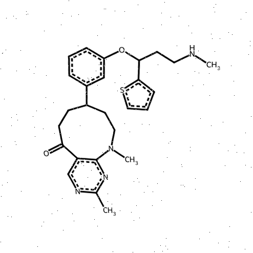 CNCCC(Oc1cccc(C2CCC(=O)c3cnc(C)nc3N(C)CC2)c1)c1cccs1